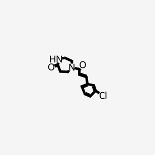 O=C1CCN(C(=O)C=Cc2cccc(Cl)c2)CCN1